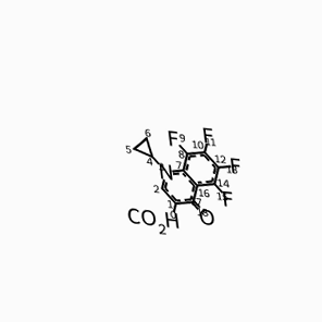 O=C(O)c1cn(C2CC2)c2c(F)c(F)c(F)c(F)c2c1=O